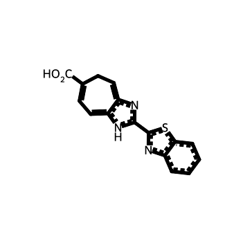 O=C(O)C1=CC=c2[nH]c(-c3nc4ccccc4s3)nc2=CC1